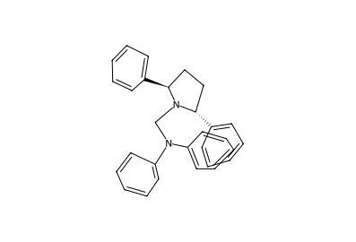 c1ccc([C@H]2CC[C@H](c3ccccc3)N2CN(c2ccccc2)c2ccccc2)cc1